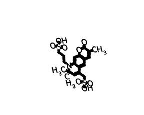 Cc1cc2cc3c(cc2oc1=O)N(CCCS(=O)(=O)O)C(C)(C)C=C3CS(=O)(=O)O